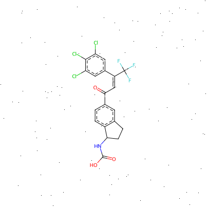 O=C(O)NC1CCc2cc(C(=O)/C=C(\c3cc(Cl)c(Cl)c(Cl)c3)C(F)(F)F)ccc21